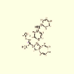 C=C/C=C(\C)C1CC2=C(C=CCC=C2)N1c1ccc(Nc2ccccc2)cc1